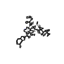 C=C[C@@H]1C[C@]1(NC(=O)[C@@H]1CC(O)(OC(=O)N2Cc3cccc(F)c3C2)[C@@H]2CC/C=C/C[C@H](NC(=O)OC(C)(C)C)C(=O)N21)C(=O)NS(=O)(=O)C1CC1